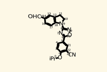 CC(C)Oc1ccc(-c2nc(N3CCc4cc(C=O)ccc43)no2)cc1C#N